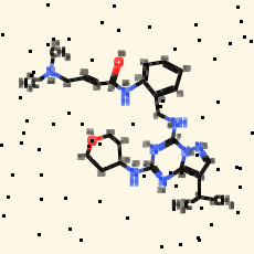 CC(C)c1cnn2c(NCc3ccccc3NC(=O)C=CCN(C)C)nc(NC3CCOCC3)nc12